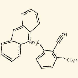 C#Cc1c(C(=O)O)cccc1C(=O)O.c1ccc2cc3ccccc3cc2c1